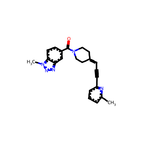 Cc1cccc(C#CC=C2CCN(C(=O)c3ccc4c(c3)nnn4C)CC2)n1